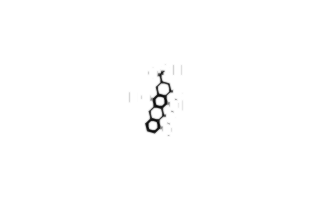 COc1cccc2c1C(=O)c1c(O)c3c(c(O)c1C2)CC(C(=O)O)CC3=O